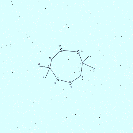 CC1(C)CSSC(C)(C)CSS1